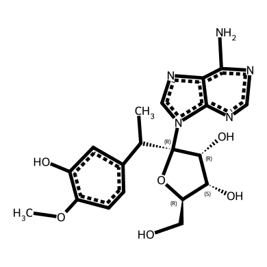 COc1ccc(C(C)[C@@]2(n3cnc4c(N)ncnc43)O[C@H](CO)[C@@H](O)[C@H]2O)cc1O